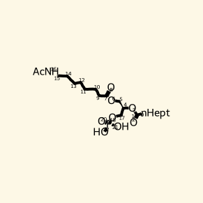 CCCCCCCC(=O)O[C@H](COC(=O)CCCCCCCNC(C)=O)COP(=O)(O)O